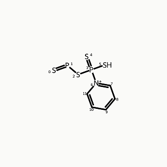 S=PSP(=S)(S)[n+]1ccccc1